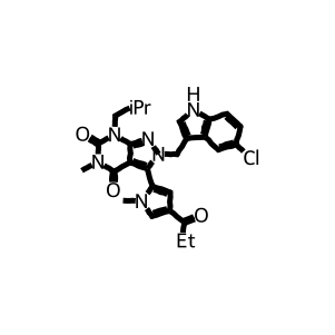 CCC(=O)c1cc(-c2c3c(=O)n(C)c(=O)n(CC(C)C)c3nn2Cc2c[nH]c3ccc(Cl)cc23)n(C)c1